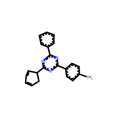 Cc1ccc(-c2nc(-c3ccccc3)nc(C3C=CC=CC3)n2)cc1